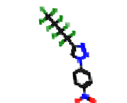 O=[N+]([O-])c1ccc(-n2cc(C(F)(F)C(F)(F)C(F)(F)C(F)(F)F)nn2)cc1